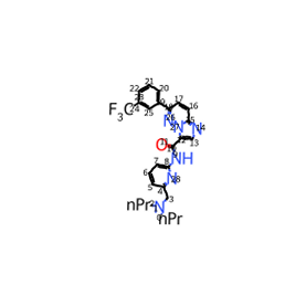 CCCN(CCC)Cc1cccc(NC(=O)c2cnc3ccc(-c4cccc(C(F)(F)F)c4)nn23)n1